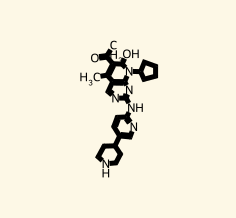 CC(=O)C1=C(C)c2cnc(Nc3ccc(C4CCNCC4)cn3)nc2N(C2CCCC2)C1O